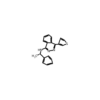 C[C@@H](Nc1nnc(-c2ccsc2)c2ccccc12)c1ccccc1